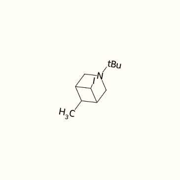 CC1C2CN(C(C)(C)C)CC1C2I